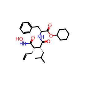 C=CC[C@H](C(=O)NO)[C@@H](CC(C)C)C(=O)N[C@@H](Cc1ccccc1)C(=O)OC1CCCCC1